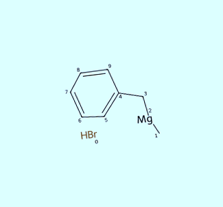 Br.[CH3][Mg][CH2]c1ccccc1